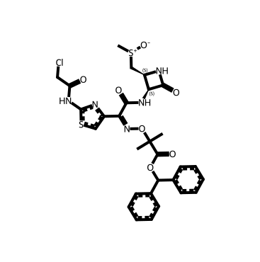 C[S+]([O-])C[C@H]1NC(=O)[C@H]1NC(=O)C(=NOC(C)(C)C(=O)OC(c1ccccc1)c1ccccc1)c1csc(NC(=O)CCl)n1